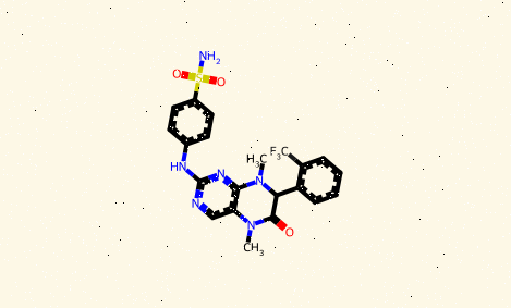 CN1C(=O)C(c2ccccc2C(F)(F)F)N(C)c2nc(Nc3ccc(S(N)(=O)=O)cc3)ncc21